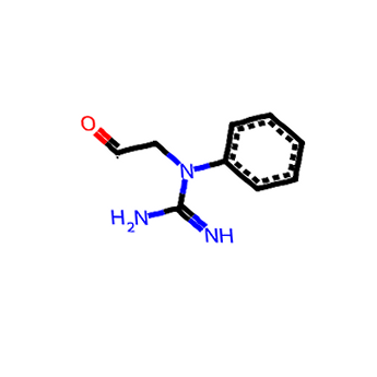 N=C(N)N(C[C]=O)c1ccccc1